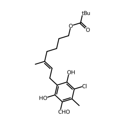 C/C(=C\Cc1c(O)c(Cl)c(C)c(C=O)c1O)CCCCOC(=O)C(C)(C)C